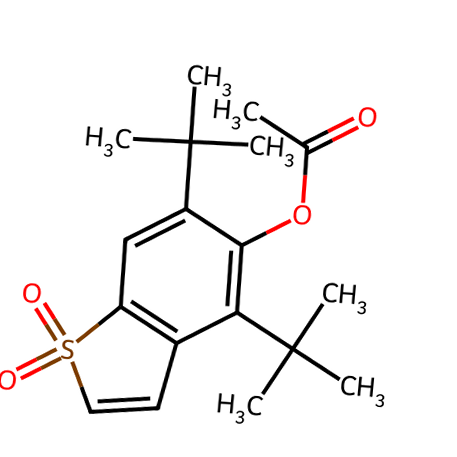 CC(=O)Oc1c(C(C)(C)C)cc2c(c1C(C)(C)C)C=CS2(=O)=O